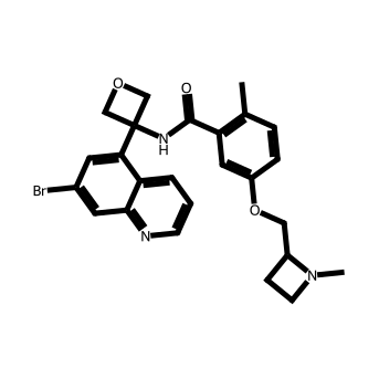 Cc1ccc(OCC2CCN2C)cc1C(=O)NC1(c2cc(Br)cc3ncccc23)COC1